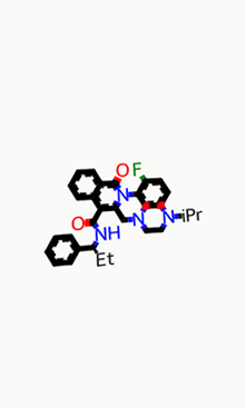 CC[C@H](NC(=O)c1c(CN2CCN(C(C)C)CC2)n(-c2ccccc2F)c(=O)c2ccccc12)c1ccccc1